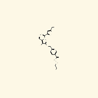 CC(C)(C)c1c(OCc2ccc(C(=O)NNCCO)cn2)nn2c(-c3cc(CO)on3)nncc12